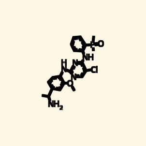 COc1cc(C(C)N)ccc1Nc1ncc(Cl)c(Nc2ccccc2P(C)(C)=O)n1